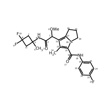 COC(C(=O)NC1(C)CC(F)(F)C1)c1c(C)c(C(=O)Nc2ccc(F)cc2)n2c1CCC2